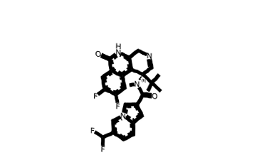 CN(C(=O)c1cc2ccc(C(F)F)cn2c1)[C@@]1(C(C)(C)C)C=NCc2[nH]c(=O)c3cc(F)c(F)cc3c21